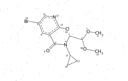 COC(CN(C(=O)c1cc(Br)cnc1Cl)C1CC1)OC